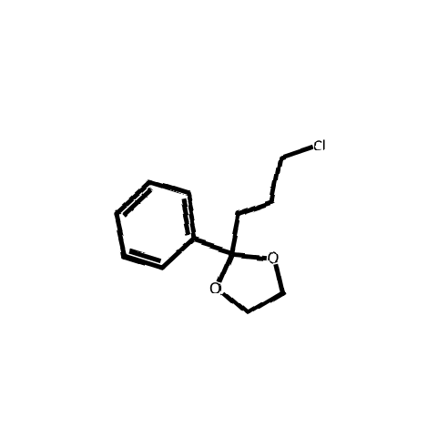 ClCCCC1(c2ccccc2)OCCO1